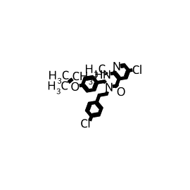 CNc1ncc(Cl)cc1C(=O)N(CCc1ccc(Cl)cc1)Cc1ccc(OC(C)(C)C)cc1